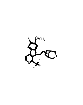 COc1cc2c(cc1F)c1ccnc(C(F)(F)F)c1n2CCN1C2CCC1COC2